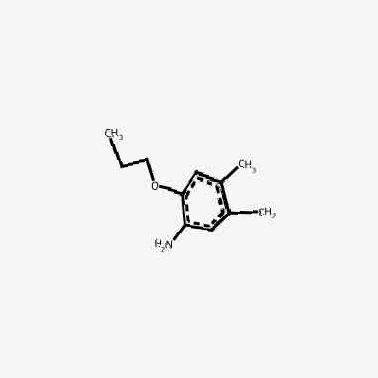 CCCOc1cc(C)c(C)cc1N